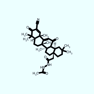 CC(=O)NNC(=O)C[C@]12CCC(C)(C)C[C@@H]1C1C(=O)C=C3[C@@]4(C)C=C(C#N)C(=O)C(C)(C)[C@@H]4CC[C@@]3(C)[C@]1(C)CC2